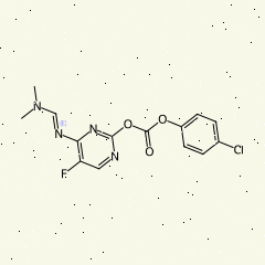 CN(C)/C=N/c1nc(OC(=O)Oc2ccc(Cl)cc2)ncc1F